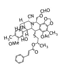 COc1c(C)cc2c(c1O)[C@H]1C3[C@H](SC[C@@H](C)OC(=O)/C=C/c4ccccc4)c4c(OC(C)=O)c(C)c5c(c4[C@H](COC=O)N3[C@@H](C#N)[C@H](C2)N1C)OCO5